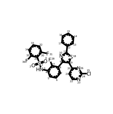 O=S(=O)(Nc1cccc(-c2nc(-c3ccccc3)sc2-c2ccnc(Cl)n2)c1F)c1c(F)cccc1F